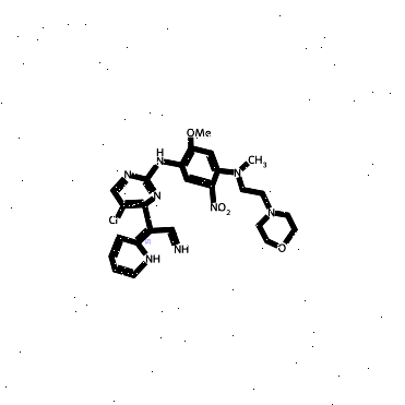 COc1cc(N(C)CCN2CCOCC2)c([N+](=O)[O-])cc1Nc1ncc(Cl)c(/C(C=N)=C2\C=CC=CN2)n1